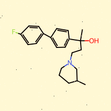 CC1CCCN(CCC(C)(O)c2ccc(-c3ccc(F)cc3)cc2)C1